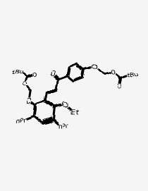 CCCc1cc(CCC)c(OCOC(=O)C(C)(C)C)c(C=CC(=O)c2ccc(OCOC(=O)C(C)(C)C)cc2)c1OCC